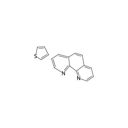 c1ccsc1.c1cnc2c(c1)ccc1cccnc12